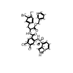 O=C(NC(Cc1ccc(F)c(Br)c1)C(=O)OCc1cccnc1)c1cc(Cl)c(Cl)cc1NS(=O)(=O)C1=CC=CN2SNC=C12